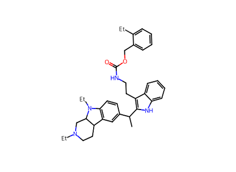 CCc1ccccc1COC(=O)NCCc1c(C(C)c2ccc3c(c2)C2CCN(CC)CC2N3CC)[nH]c2ccccc12